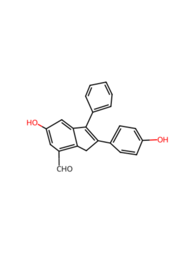 O=Cc1cc(O)cc2c1CC(c1ccc(O)cc1)=C2c1ccccc1